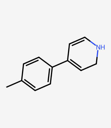 Cc1ccc(C2=CCNC=C2)cc1